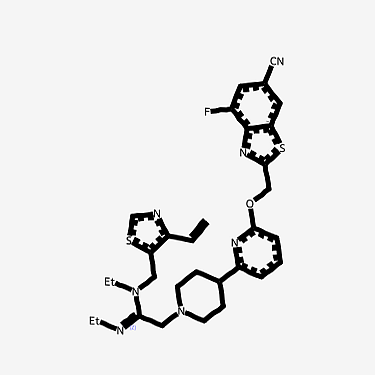 C=Cc1ncsc1CN(CC)/C(CN1CCC(c2cccc(OCc3nc4c(F)cc(C#N)cc4s3)n2)CC1)=N\CC